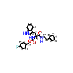 C[C@](Cc1c[nH]c2ccccc12)(NC(=O)OCc1ccc(F)cc1)C(=O)NCCc1ccccc1